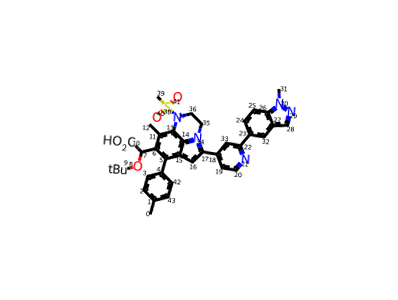 Cc1ccc(-c2c(C(OC(C)(C)C)C(=O)O)c(C)c3c4c2cc(-c2ccnc(-c5ccc6c(cnn6C)c5)c2)n4CCN3S(C)(=O)=O)cc1